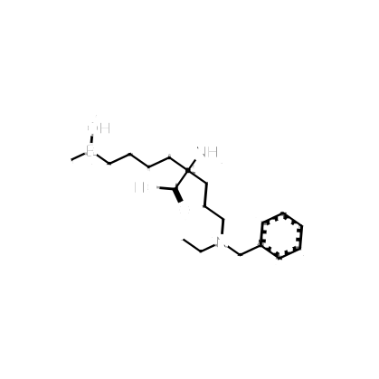 CCN(CCCC(N)(CCCCB(C)O)C(=O)O)Cc1ccccc1